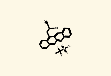 N#CC(S)Cc1c2ccccc2cc2cc3ccccc3cc12.O=S(=O)(O)C(F)(F)F